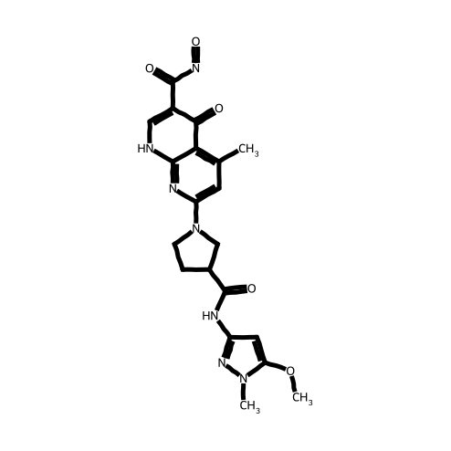 COc1cc(NC(=O)C2CCN(c3cc(C)c4c(=O)c(C(=O)N=O)c[nH]c4n3)C2)nn1C